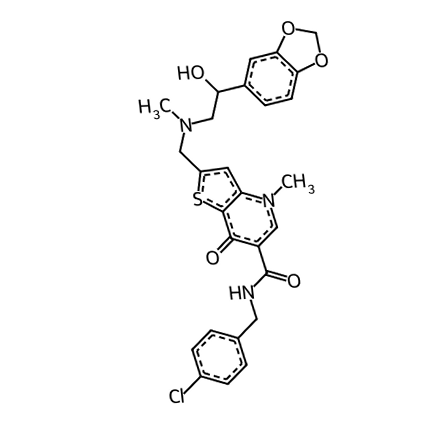 CN(Cc1cc2c(s1)c(=O)c(C(=O)NCc1ccc(Cl)cc1)cn2C)CC(O)c1ccc2c(c1)OCO2